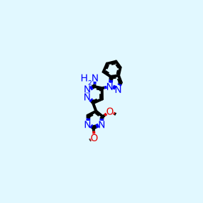 COc1ncc(-c2cc(-n3ncc4ccccc43)c(N)nn2)c(OC)n1